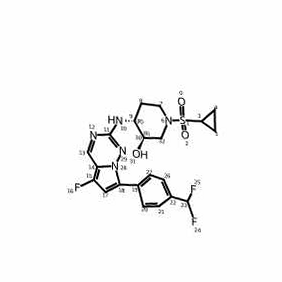 O=S(=O)(C1CC1)N1CC[C@@H](Nc2ncc3c(F)cc(-c4ccc(C(F)F)cc4)n3n2)[C@H](O)C1